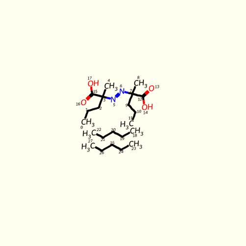 CCCC(C)(N=NC(C)(CCC)C(=O)O)C(=O)O.CCCCC.CCCCC